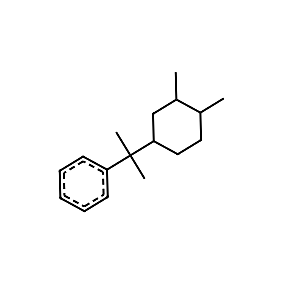 CC1CCC(C(C)(C)c2ccccc2)CC1C